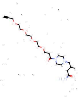 C#CCOCCOCCOCCOCCC(=O)N1CCN(CC(C)CC(N)=O)CC1